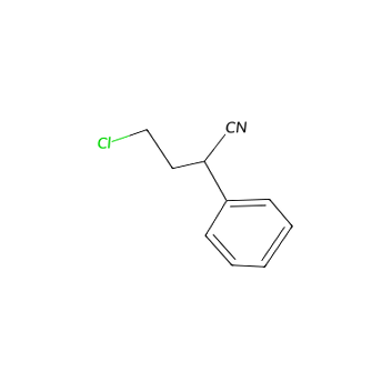 N#CC(CCCl)c1ccccc1